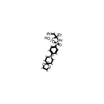 CC[C@@](CC(C)C)(NS(=O)(=O)c1ccc(N2CCC3(CC2)OCCO3)cc1)C(=O)O